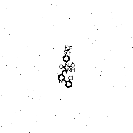 CC1(Cc2ccnc(-c3ccccc3Cl)c2)NC(=O)N(c2ccc(SC(F)(F)F)cc2)C1=O